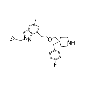 Cc1cc(CCOCC2(Cc3ccc(F)cc3)CCNCC2)c2nn(CC3CC3)cc2c1